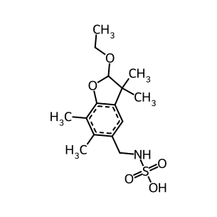 CCOC1Oc2c(cc(CNS(=O)(=O)O)c(C)c2C)C1(C)C